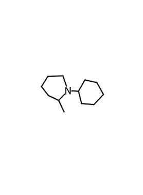 CC1CCCCN1C1CCCCC1